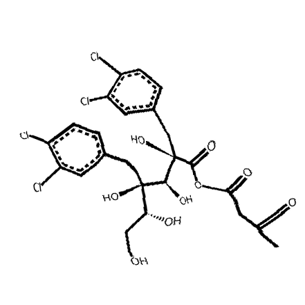 CC(=O)CC(=O)OC(=O)[C@@](O)(Cc1ccc(Cl)c(Cl)c1)[C@@H](O)[C@@](O)(Cc1ccc(Cl)c(Cl)c1)[C@H](O)CO